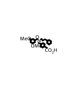 COc1cc(OC)cc(C(=O)N(CCCc2ccccc2)Cc2ccc(CC(=O)O)cc2)c1